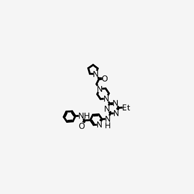 CCc1nc(Nc2ccc(C(=O)Nc3ccccc3)cn2)nc(N2CCN(CC(=O)N3CCCC3)CC2)n1